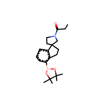 CCC(=O)N1CCC2(CCc3c(B4OC(C)(C)C(C)(C)O4)cccc32)C1